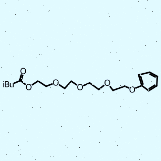 CCC(C)C(=O)OCCOCCOCCOCCOc1ccccc1